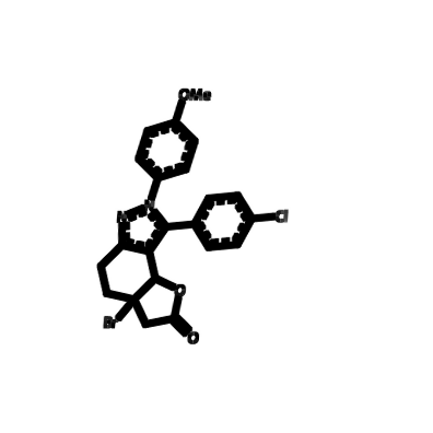 COc1ccc(-n2nc3c(c2-c2ccc(Cl)cc2)C2OC(=O)CC2(Br)CC3)cc1